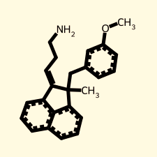 COc1cccc(CC2(C)C(=CCCN)c3cccc4cccc2c34)c1